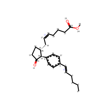 CCCC/C=C/c1ccc([C@H]2C(=O)CC[C@@H]2C/C=C\CCCC(=O)OC)cc1